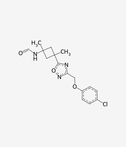 CC1(NC=O)CC(C)(c2nc(COc3ccc(Cl)cc3)no2)C1